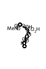 CNS(=O)(=O)c1cccc(OCC(O)CN(C(=O)O)C2COC3(CCN(S(=O)(=O)c4cnc5ccccc5c4)CC3)C2)c1